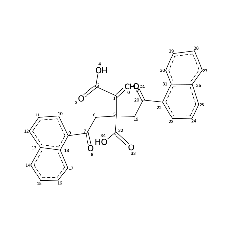 C=C(C(=O)O)C(CC(=O)c1cccc2ccccc12)(CC(=O)c1cccc2ccccc12)C(=O)O